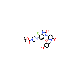 COc1ccc(CN2C(=O)CCC(n3c(=O)n(C)c4c(F)c(N5CCN(C(=O)OC(C)(C)C)CC5)ccc43)C2=O)cc1